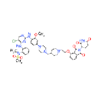 COc1cc(N2CCN(CC3CCN(CCOc4cccc5c4C(=O)N(C4CCC(=O)NC4=O)C5=O)CC3)CC2)ccc1Nc1ncc(Cl)c(Nc2ccccc2N(C)S(C)(=O)=O)n1